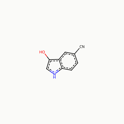 N#Cc1ccc2[nH]cc(O)c2c1